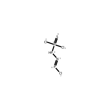 S=P(Cl)(Cl)PN=PCl